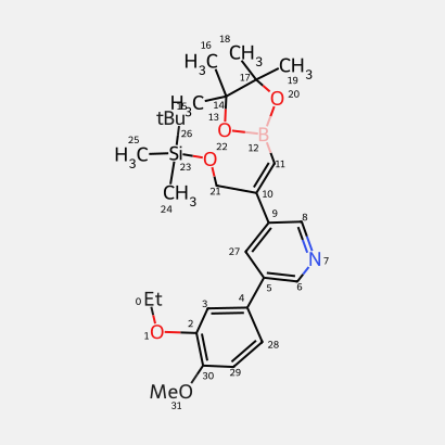 CCOc1cc(-c2cncc(C(=CB3OC(C)(C)C(C)(C)O3)CO[Si](C)(C)C(C)(C)C)c2)ccc1OC